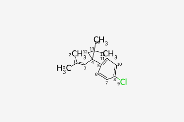 CC(C)=CC1(c2ccc(Cl)cc2)CC1(C)C